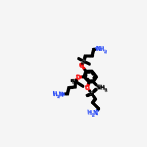 C[Si](C)(CCCN)Oc1ccc([SiH3])c(O[Si](C)(C)CCCN)c1O[Si](C)(C)CCCN